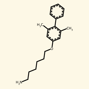 Cc1cc(OCCCCCCN)cc(C)c1-c1ccccc1